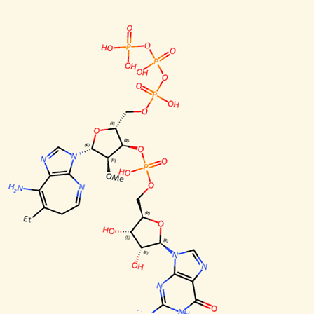 CCC1=C(N)c2ncn([C@@H]3O[C@H](COP(=O)(O)OP(=O)(O)OP(=O)(O)O)[C@@H](OP(=O)(O)OC[C@H]4O[C@@H](n5cnc6c(=O)[nH]c(N)nc65)[C@H](O)[C@@H]4O)[C@H]3OC)c2N=CC1